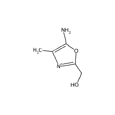 Cc1nc(CO)oc1N